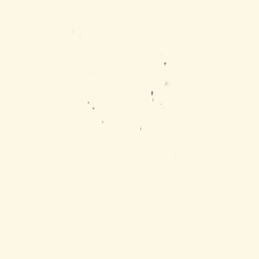 COC(=O)C1(Nc2cccc(Cl)c2)CCC2(CC1)c1cc3c(cc1C[C@@H]2C[C@@H](C)CO)OCCCO3